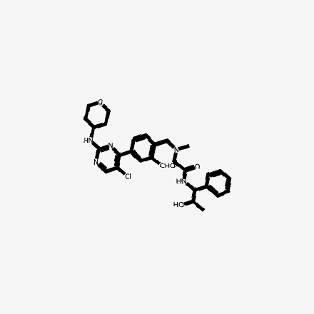 CC(O)C(NC(=O)CN(C)Cc1ccc(-c2nc(NC3CCOCC3)ncc2Cl)cc1C=O)c1ccccc1